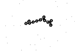 c1ccc(-n2c3ccccc3c3cc(-c4ccc5c(c4)c4ccccc4n5-c4ccc(-c5ccc(-c6ccc(-c7ccc8c9c(cccc79)-c7ccccc7-8)cc6)cc5)cc4)ccc32)cc1